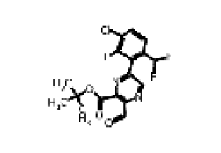 CC(C)(C)OC(=O)c1nc(-c2c(C(F)F)ccc(Cl)c2F)cnc1C=O